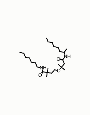 CCCCCCCNC(=O)C(C)(C)CCOC(C)(C)CC(=O)NC(C)CCCCCC